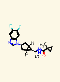 CC[C@@H](NC(=O)C1(C(F)(F)F)CC1)[C@H]1[C@@H]2C[C@@H](n3cnc4cc(F)c(F)cc43)C[C@@H]21